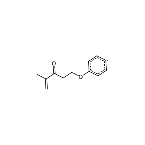 C=C(C)C(=O)CCOc1cc[c]cc1